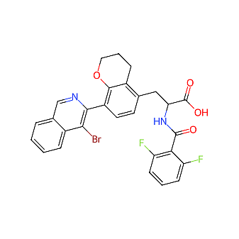 O=C(NC(Cc1ccc(-c2ncc3ccccc3c2Br)c2c1CCCO2)C(=O)O)c1c(F)cccc1F